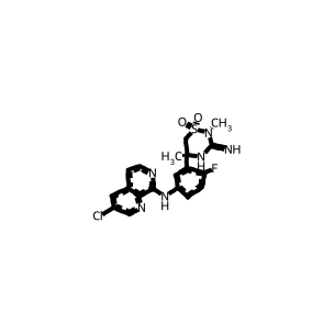 CN1C(=N)N[C@](C)(c2cc(Nc3nccc4cc(Cl)cnc34)ccc2F)CS1(=O)=O